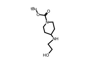 CC(C)(C)OC(=O)N1CCC(NCCO)CC1